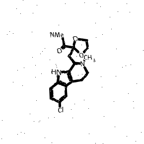 CNC(=O)C1(CC2c3[nH]c4ccc(Cl)cc4c3CCN2C)OCCO1